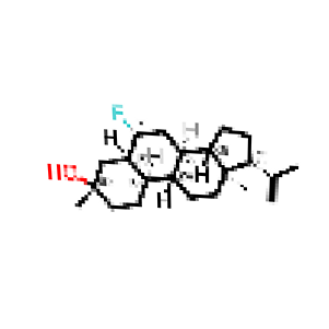 C=C(C)[C@H]1CC[C@H]2[C@@H]3C[C@@H](F)[C@@H]4C[C@@](C)(O)CC[C@@H]4[C@H]3CC[C@]12C